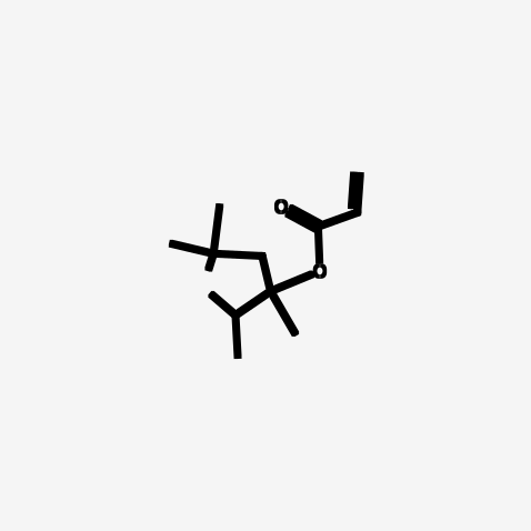 C=CC(=O)OC(C)(CC(C)(C)C)C(C)C